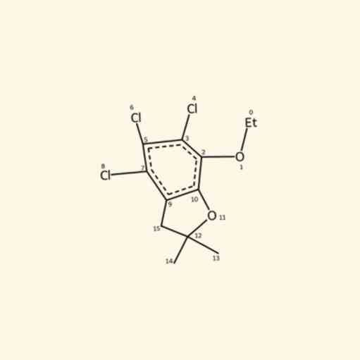 CCOc1c(Cl)c(Cl)c(Cl)c2c1OC(C)(C)C2